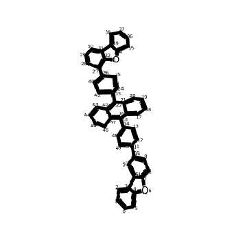 c1ccc2c(c1)oc1ccc(-c3ccc(-c4c5ccccc5c(-c5ccc(-c6cccc7c6oc6ccccc67)cc5)c5ccccc45)cc3)cc12